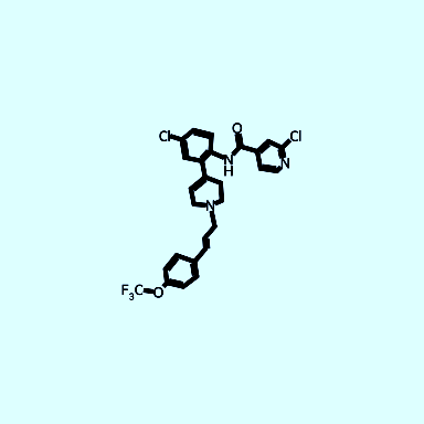 O=C(Nc1ccc(Cl)cc1C1=CCN(C/C=C/c2ccc(OC(F)(F)F)cc2)CC1)c1ccnc(Cl)c1